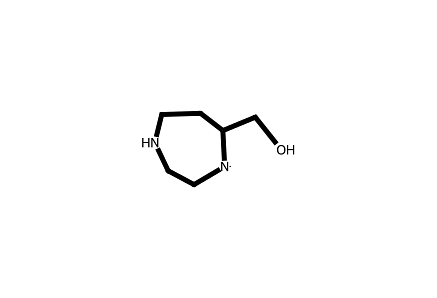 OCC1CCNCC[N]1